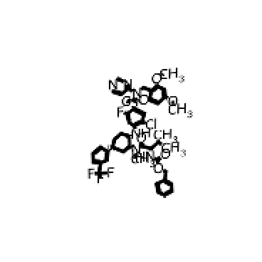 COc1ccc(CN(c2ccncn2)S(=O)(=O)c2cc(Cl)c(N[C@H]3CC[C@H](c4cccc(C(F)(F)F)c4)C[C@@H]3N(C)C(=O)C(NC(=O)OCc3ccccc3)C(C)C)cc2F)c(OC)c1